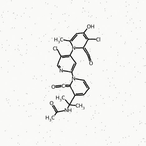 CC(=O)NC(C)(C)C1=CC=CN(c2cc(N3C(=C=O)C(Cl)=C(O)C=C3C)c(Cl)cn2)C1=C=O